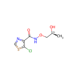 C[C@H](O)CONC(=O)c1ncsc1Cl